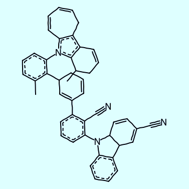 Cc1cccc(-n2c3c(c4c2C(C)CC=C4)CC=CC=C3)c1C1C=C(c2cccc(N3c4ccccc4C4C=C(C#N)C=CC43)c2C#N)C=CC1